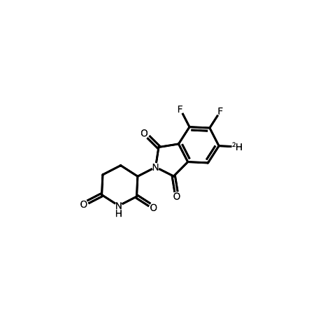 [2H]c1cc2c(c(F)c1F)C(=O)N(C1CCC(=O)NC1=O)C2=O